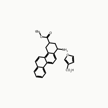 CC(C)(C)OC(=O)C1Cc2c(ccc3c2ccc2ccccc23)C(N)C1.O=C(O)c1ccoc1